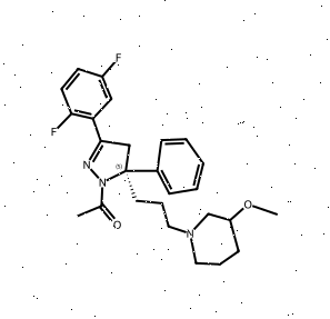 COC1CCCN(CCC[C@@]2(c3ccccc3)CC(c3cc(F)ccc3F)=NN2C(C)=O)C1